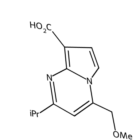 COCc1cc(C(C)C)nc2c(C(=O)O)ccn12